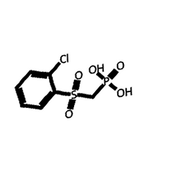 O=P(O)(O)CS(=O)(=O)c1ccccc1Cl